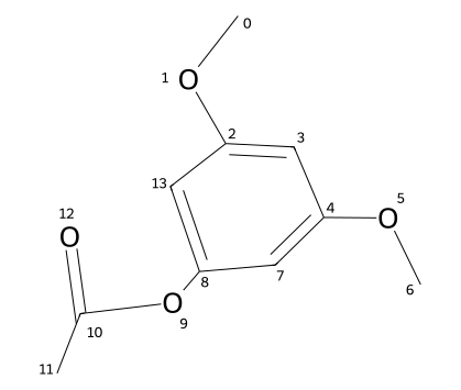 COc1cc(OC)cc(OC(C)=O)c1